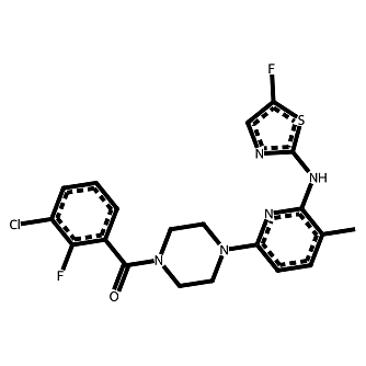 Cc1ccc(N2CCN(C(=O)c3cccc(Cl)c3F)CC2)nc1Nc1ncc(F)s1